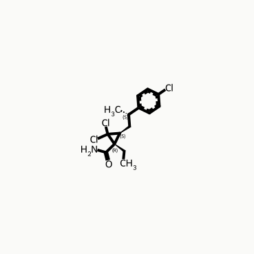 CC[C@]1(C(N)=O)[C@H](C[C@H](C)c2ccc(Cl)cc2)C1(Cl)Cl